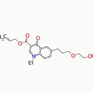 C=CCOC(=O)c1cn(CC)c2ccc(CCCOCCO)cc2c1=O